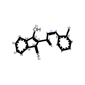 C=C(/C=C\c1ccccc1C)C1=C(O)c2ccccc2C1=S